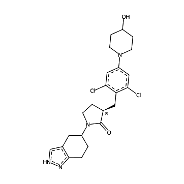 O=C1[C@H](Cc2c(Cl)cc(N3CCC(O)CC3)cc2Cl)CCN1C1CCc2n[nH]cc2C1